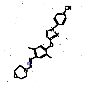 Cc1cc(Oc2ccn(-c3ccc(C#N)cc3)n2)c(C)cc1/N=C/N1CCOCC1